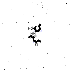 C=C/C=C\C(=C(/C)O)n1nc(C)c(/C=C(/Cl)C=C)n1